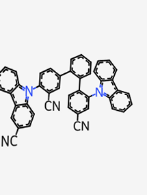 N#Cc1ccc(-c2ccccc2-c2ccc(-n3c4ccccc4c4cc(C#N)ccc43)c(C#N)c2)c(-n2c3ccccc3c3ccccc32)c1